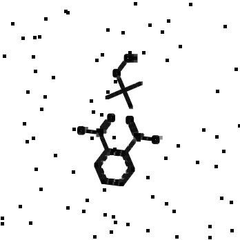 CC(C)(C)OO.O=[N+]([O-])c1ccccc1[N+](=O)[O-]